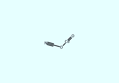 N#C[O][Co]=[O]